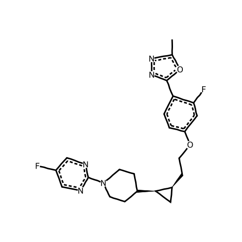 Cc1nnc(-c2ccc(OCC[C@H]3C[C@H]3C3CCN(c4ncc(F)cn4)CC3)cc2F)o1